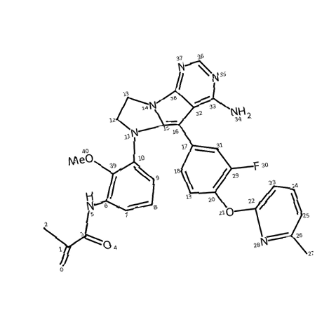 C=C(C)C(=O)Nc1cccc(N2CCn3c2c(-c2ccc(Oc4cccc(C)n4)c(F)c2)c2c(N)ncnc23)c1OC